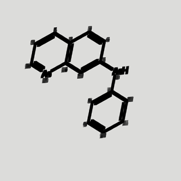 C1=Cc2ccc([AsH]c3ccccc3)cc2[As]=C1